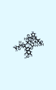 C=CC1C[C@]1(NC(=O)[C@@H]1C[C@@H](Oc2cc(-c3csc(NC(=O)CC(=C)C)n3)nc3c(C)c(OC)c(C)cc23)CN1C(=O)[C@@H](NC(=O)NC1CCCC1)C(C)(C)C)C(=O)O